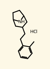 Cc1ccccc1CCC1CC2CCC(C1)N2.Cl